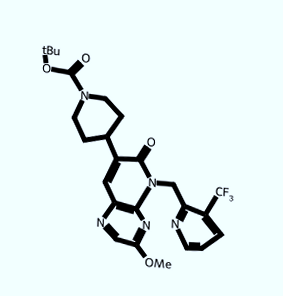 COc1cnc2cc(C3CCN(C(=O)OC(C)(C)C)CC3)c(=O)n(Cc3ncccc3C(F)(F)F)c2n1